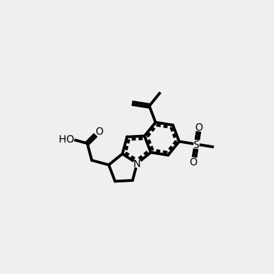 C=C(C)c1cc(S(C)(=O)=O)cc2c1cc1n2CCC1CC(=O)O